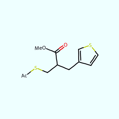 COC(=O)C(CSC(C)=O)Cc1ccsc1